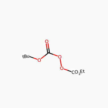 CCOC(=O)OOC(=O)OC(C)(C)C